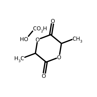 CC1OC(=O)C(C)OC1=O.O=C(O)O